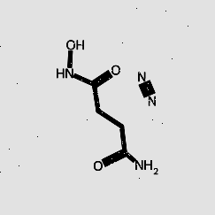 N#N.NC(=O)CCC(=O)NO